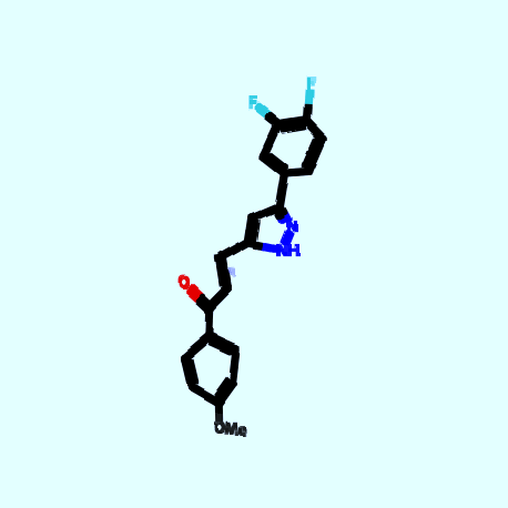 COc1ccc(C(=O)/C=C/c2cc(-c3ccc(F)c(F)c3)n[nH]2)cc1